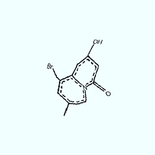 Cc1cc(Br)c2cc(O)cc(=O)n2c1